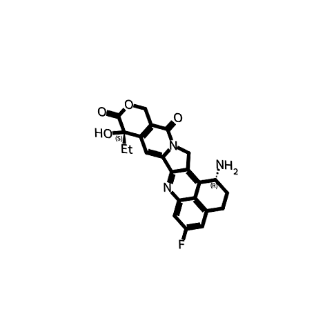 CC[C@@]1(O)C(=O)OCc2c1cc1n(c2=O)Cc2c-1nc1cc(F)cc3c1c2[C@H](N)CC3